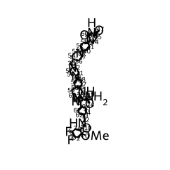 COc1cc(F)c(F)cc1C(=O)NCc1ccc(-c2nn3c(c2C(N)=O)Nc2ccc(N4CCN(CC5CCN(c6ccc(N7CCC(=O)NC7=O)cc6)CC5)CC4)cc2CC3)cc1